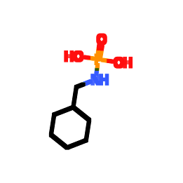 O=P(O)(O)NCC1CCCCC1